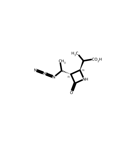 CC(C(=O)O)[C@H]1NC(=O)[C@@H]1C(C)N=[N+]=[N-]